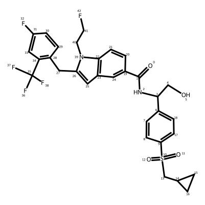 O=C(NC(CO)c1ccc(S(=O)(=O)CC2CC2)cc1)c1ccc2c(c1)cc(Cc1ccc(F)cc1C(F)(F)F)n2CCF